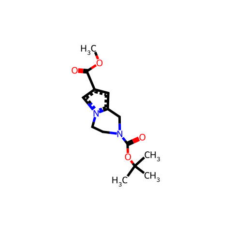 COC(=O)c1cc2n(c1)CCN(C(=O)OC(C)(C)C)C2